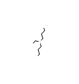 COCCCN(CCCO)CC(C)C